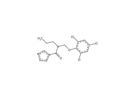 CCCN(COc1c(Cl)cc(Cl)cc1Cl)C(=O)n1ccnc1